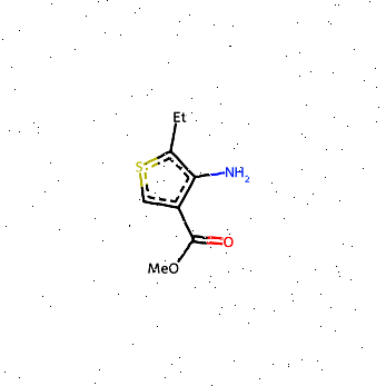 CCc1scc(C(=O)OC)c1N